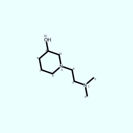 CN(C)CCN1CCCC(O)C1